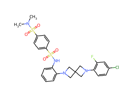 CN(C)S(=O)(=O)c1ccc(S(=O)(=O)Nc2ccccc2N2CC3(CN(c4ccc(Cl)cc4F)C3)C2)cc1